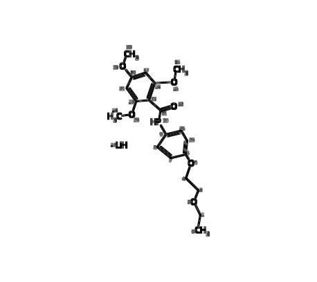 CCOCCOc1ccc(PC(=O)c2c(OC)cc(OC)cc2OC)cc1.[LiH]